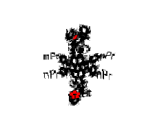 CCCc1ccc(Oc2cc3c4c(cc(Oc5ccc(CCC)cc5)c5c6c(Oc7ccc(CCC)cc7)cc7c8c(cc(Oc9ccc(CCC)cc9)c(c2c45)c86)C(=O)N(C(Cc2cc4ccccc4[nH]2)C(=O)N(CC)c2ccncc2)C7=O)C(=O)N(C(Cc2cc4ccccc4[nH]2)C(=O)N(CC)c2ccncc2)C3=O)cc1